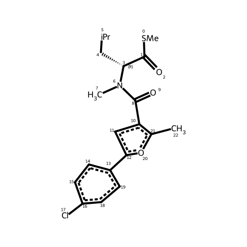 CSC(=O)[C@@H](CC(C)C)N(C)C(=O)c1cc(-c2ccc(Cl)cc2)oc1C